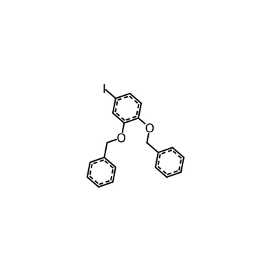 Ic1ccc(OCc2ccccc2)c(OCc2ccccc2)c1